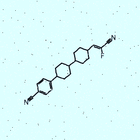 N#CC(F)=CC1CCC(C2CCC(c3ccc(C#N)cc3)CC2)CC1